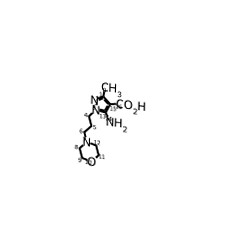 Cc1nn(CCCN2CCOCC2)c(N)c1C(=O)O